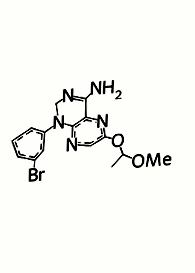 COC(C)Oc1cnc2c(n1)C(N)=NCN2c1cccc(Br)c1